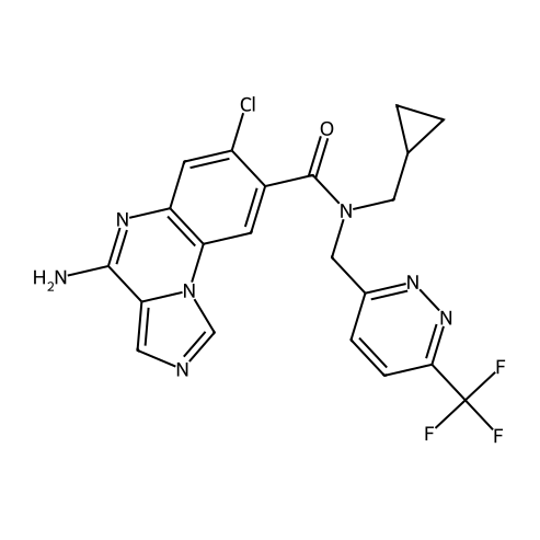 Nc1nc2cc(Cl)c(C(=O)N(Cc3ccc(C(F)(F)F)nn3)CC3CC3)cc2n2cncc12